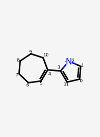 C1=C[N]C(C2=CCCCCC2)=C1